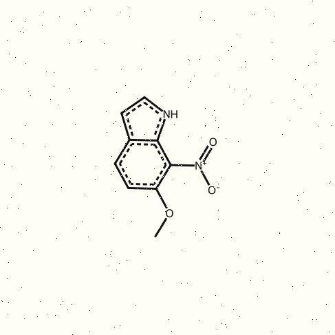 COc1ccc2cc[nH]c2c1[N+](=O)[O-]